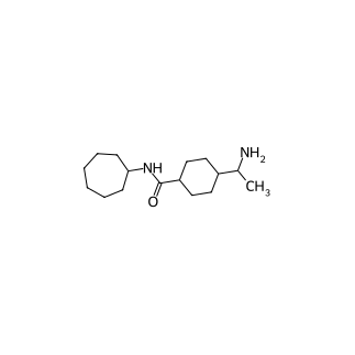 CC(N)C1CCC(C(=O)NC2CCCCCC2)CC1